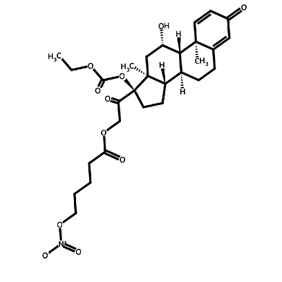 CCOC(=O)O[C@]1(C(=O)COC(=O)CCCCO[N+](=O)[O-])CC[C@H]2[C@@H]3CCC4=CC(=O)C=C[C@]4(C)[C@H]3[C@@H](O)C[C@@]21C